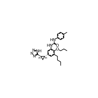 CCCCc1cc([C@@H]2C[C@H]2c2nnn[nH]2)cc(NC(=O)Nc2ccc(C)cc2)c1OCCC